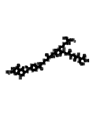 CN(CC1CNc2nc(N)[nH]c(=O)c2N1C)c1ccc(C(=O)NCCCC(=O)NCC(=O)NC(CCCNC(=N)N)C(=O)NCC(=O)NCC(=O)NC(CS)C(=O)O)cc1